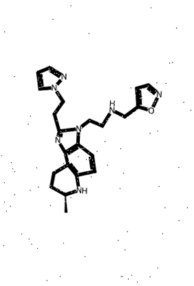 C[C@H]1CCc2c(ccc3c2nc(CCn2cccn2)n3CCNCc2ccno2)N1